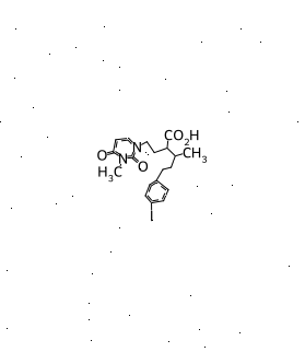 CC(CCc1ccc(I)cc1)C(CCn1ccc(=O)n(C)c1=O)C(=O)O